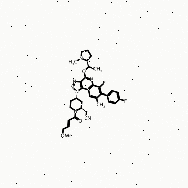 COC/C=C/C(=O)N1CC[C@H](n2nnc3c(OC(C)[C@@H]4CCCN4C)nc4c(F)c(-c5ccc(F)cc5)c(C)cc4c32)C[C@H]1CC#N